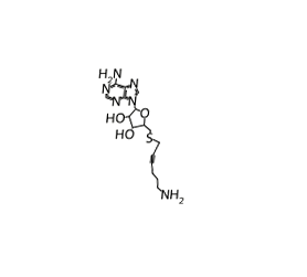 NCCCC#CCSCC1OC(n2cnc3c(N)ncnc32)C(O)C1O